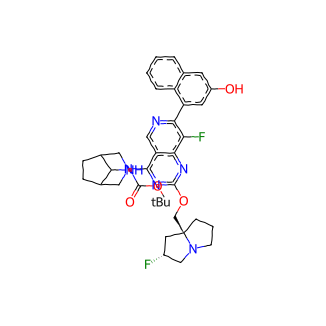 CC(C)(C)OC(=O)NC1C2CCC1CN(c1nc(OC[C@@]34CCCN3C[C@H](F)C4)nc3c(F)c(-c4cc(O)cc5ccccc45)ncc13)C2